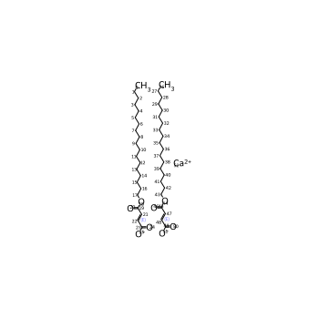 CCCCCCCCCCCCCCCCCCOC(=O)/C=C/C(=O)[O-].CCCCCCCCCCCCCCCCCCOC(=O)/C=C/C(=O)[O-].[Ca+2]